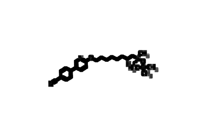 C[Si](C)(C)O[Si](C)(C)CCCCCCCCOc1ccc(-c2ccc(C#N)cc2)cn1